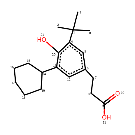 CC(C)(C)c1cc(CCC(=O)O)cc(C2CCCCC2)c1O